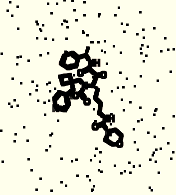 C[C@@H](NC(=O)C(=O)[C@H](CCCCNC(=O)N1CCOCC1)N(CC1(Cc2ccncc2)CCC1)C(=O)O)c1ccccc1